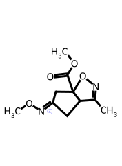 CO/N=C1/CC2C(C)=NOC2(C(=O)OC)C1